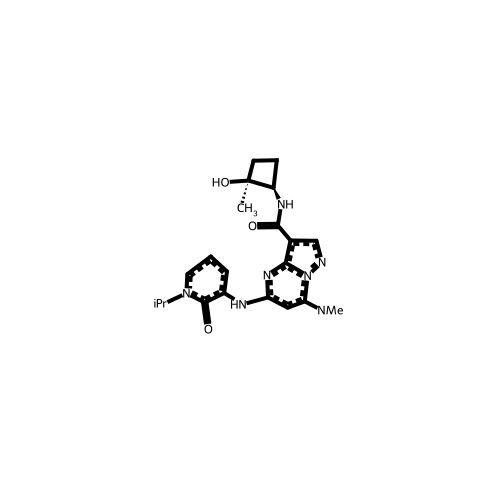 CNc1cc(Nc2cccn(C(C)C)c2=O)nc2c(C(=O)N[C@@H]3CC[C@]3(C)O)cnn12